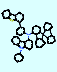 c1ccc(-n2c3ccccc3c3c(N(c4cccc(-c5cccc6c5sc5ccccc56)c4)c4cccc5c4-c4ccccc4C54c5ccccc5-c5ccccc54)cccc32)cc1